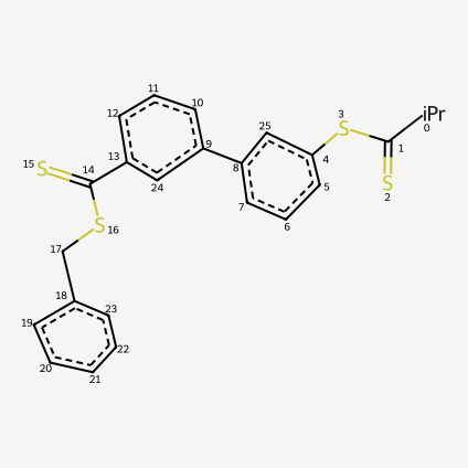 CC(C)C(=S)Sc1cccc(-c2cccc(C(=S)SCc3ccccc3)c2)c1